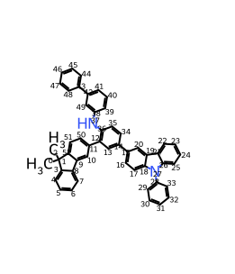 CC1(C)c2ccccc2-c2cc(-c3cc(-c4ccc5c(c4)c4ccccc4n5-c4ccccc4)ccc3Nc3cccc(-c4ccccc4)c3)ccc21